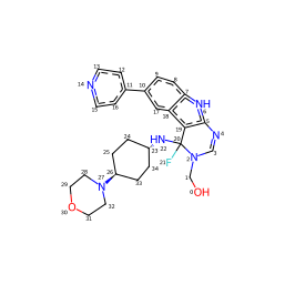 OCN1C=Nc2[nH]c3ccc(-c4ccncc4)cc3c2C1(F)N[C@H]1CC[C@H](N2CCOCC2)CC1